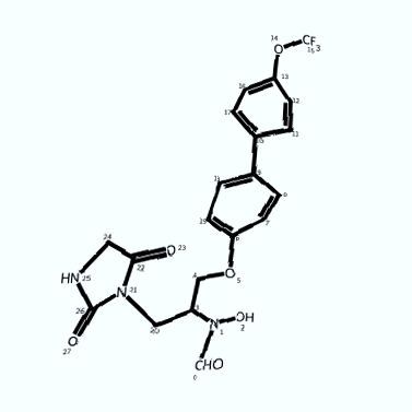 O=CN(O)C(COc1ccc(-c2ccc(OC(F)(F)F)cc2)cc1)CN1C(=O)CNC1=O